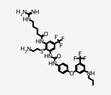 CCCNc1cc(Oc2ccc(NC(=O)Nc3cc(C(F)(F)F)cc(NC(=O)CCCCNC(=N)N)c3SCCN)cc2)cc(C(F)(F)F)c1